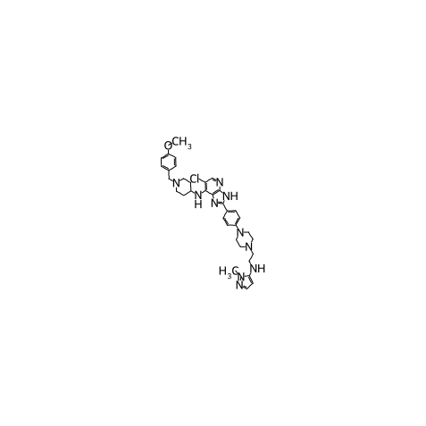 COc1ccc(CN2CCC(Nc3c(Cl)cnc4[nH]c(-c5ccc(N6CCN(CCNc7ccnn7C)CC6)cc5)nc34)CC2)cc1